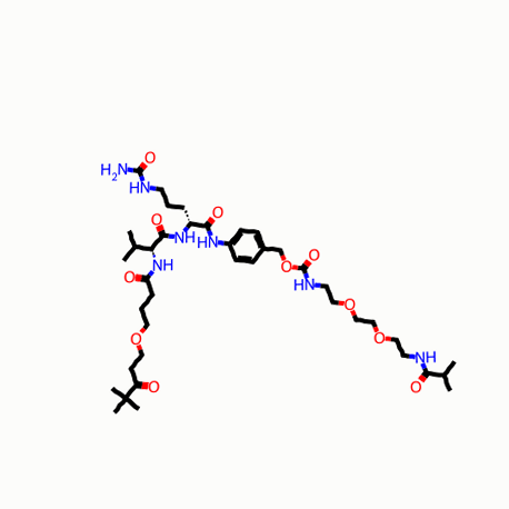 CC(C)C(=O)NCCOCCOCCNC(=O)OCc1ccc(NC(=O)[C@@H](CCCNC(N)=O)NC(=O)[C@H](NC(=O)CCCOCCC(=O)C(C)(C)C)C(C)C)cc1